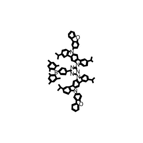 Cc1cc(C)c(B(c2ccc(-c3nc(-n4c5ccc(C(C)C)cc5c5cc6c(cc54)c4cc(C(C)C)ccc4n6-c4ccc5oc6ccccc6c5c4)nc(-n4c5ccc(C(C)C)cc5c5cc6c(cc54)c4cc(C(C)C)ccc4n6-c4ccc5oc6ccccc6c5c4)n3)cc2)c2c(C)cc(C)cc2C)c(C)c1